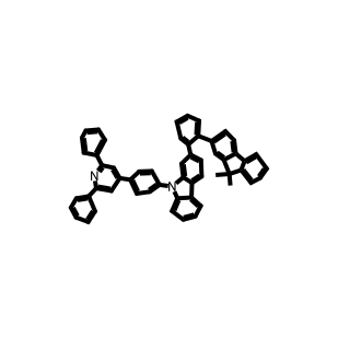 CC1(C)c2ccccc2-c2ccc(-c3ccccc3-c3ccc4c5ccccc5n(-c5ccc(-c6cc(-c7ccccc7)nc(-c7ccccc7)c6)cc5)c4c3)cc21